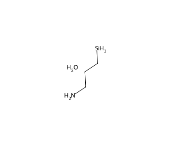 NCCC[SiH3].O